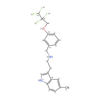 N#Cc1ccc2[nH]cc(CCNCc3cccc(OCC(F)(F)C(F)F)c3)c2c1